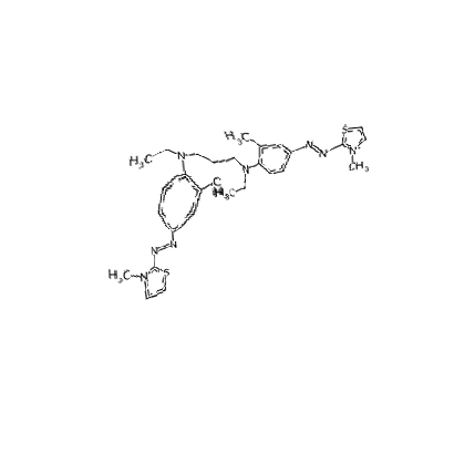 CCN(CCCN(CC)c1ccc(N=Nc2scc[n+]2C)cc1C)c1ccc(N=Nc2scc[n+]2C)cc1C